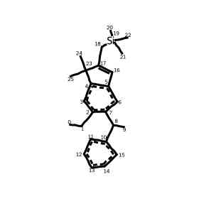 CCc1cc2c(cc1C(C)c1ccccc1)C=C(C[Si](C)(C)C)C2(C)C